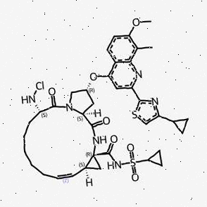 COc1ccc2c(O[C@@H]3C[C@H]4C(=O)N[C@]5(C(=O)NS(=O)(=O)C6CC6)C[C@H]5/C=C\CCCCC[C@H](NCl)C(=O)N4C3)cc(-c3nc(C4CC4)cs3)nc2c1C